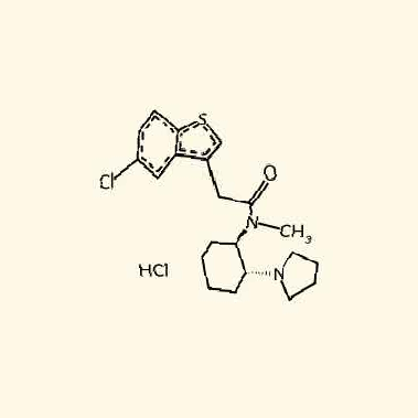 CN(C(=O)Cc1csc2ccc(Cl)cc12)[C@@H]1CCCC[C@H]1N1CCCC1.Cl